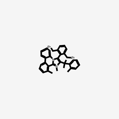 Cc1ccccc1C(C)(C)c1c(-c2c(CC(C)C)cccc2CC(C)C)n2c3ccccc3c3cccc(C)c3c2[n+]1C